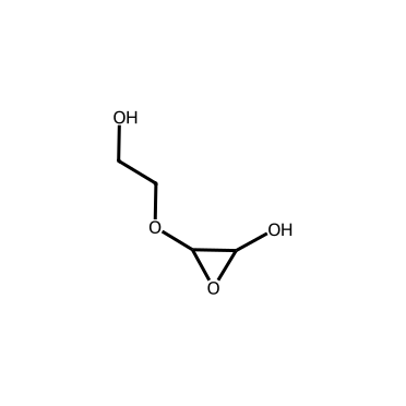 OCCOC1OC1O